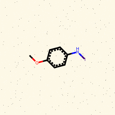 COc1ccc(NI)cc1